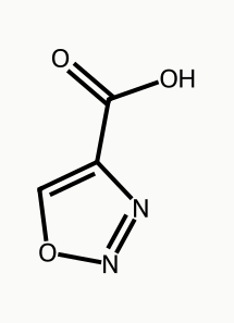 O=C(O)c1conn1